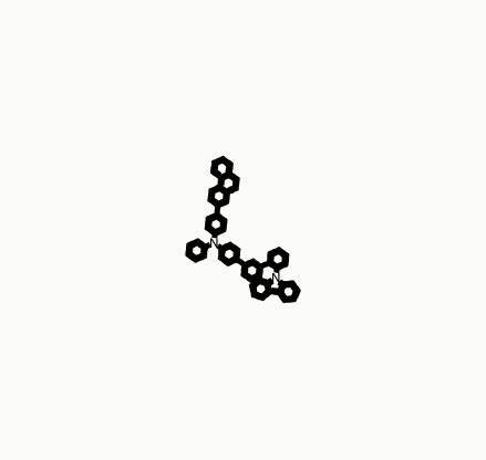 c1ccc(N(c2ccc(-c3cccc(-c4ccccc4-n4c5ccccc5c5ccccc54)c3)cc2)c2ccc(-c3ccc4c(ccc5ccccc54)c3)cc2)cc1